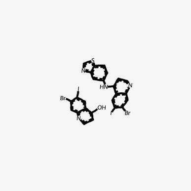 Brc1cc2nccc(Nc3ccc4scnc4c3)c2cc1I.Oc1ccnc2cc(Br)c(I)cc12